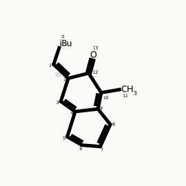 CCC(C)/C=C1/C=c2ccccc2=C(C)C1=O